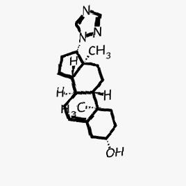 C[C@]12CC[C@H]3[C@@H](CC=C4C[C@@H](O)CC[C@@]43C)[C@@H]1CC[C@@H]2n1cncn1